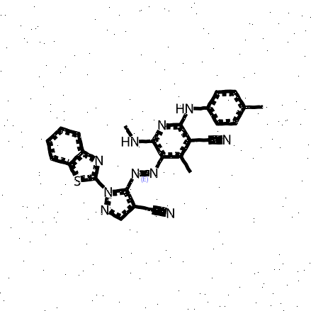 CNc1nc(Nc2ccc(C)cc2)c(C#N)c(C)c1/N=N/c1c(C#N)cnn1-c1nc2ccccc2s1